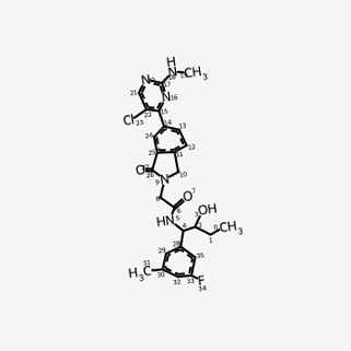 CCC(O)C(NC(=O)CN1Cc2ccc(-c3nc(NC)ncc3Cl)cc2C1=O)c1cc(C)cc(F)c1